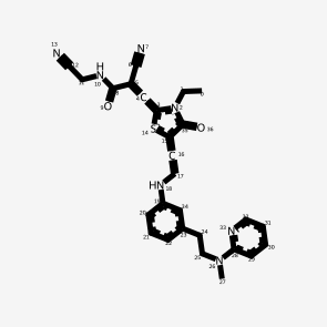 CCn1c(=C=C(C#N)C(=O)NCC#N)sc(=C=CNc2cccc(CCN(C)c3ccccn3)c2)c1=O